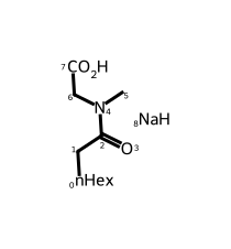 CCCCCCCC(=O)N(C)CC(=O)O.[NaH]